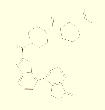 CC(=O)N1CCC[C@H](C(=O)N2CCN(C(=O)c3cc4cccc(-c5cccc6c5CNC6=O)c4o3)CC2)C1